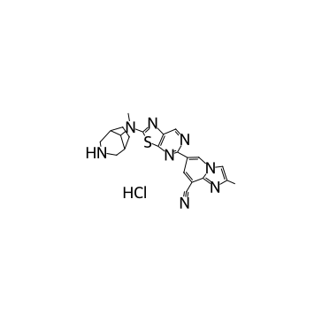 Cc1cn2cc(-c3ncc4nc(N(C)C5C6CCC5CNC6)sc4n3)cc(C#N)c2n1.Cl